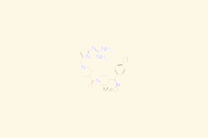 CON=C(c1ccc(Cl)cc1)C1CCN(C(=O)C2CCN(Cc3csc(N=C(N)N)n3)CC2)CC1